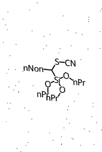 CCCCCCCCCC(SC#N)[Si](OCCC)(OCCC)OCCC